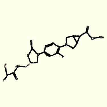 CC(C)(C)OC(=O)C1C2CN(c3ccc(N4C[C@H](CNC(=O)C(F)F)OC4=O)cc3F)CC21